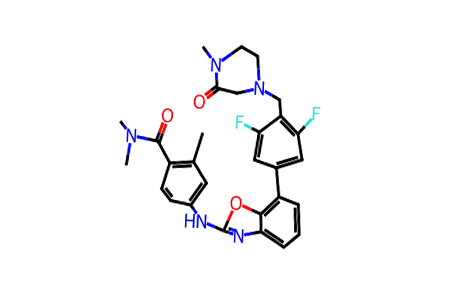 Cc1cc(Nc2nc3cccc(-c4cc(F)c(CN5CCN(C)C(=O)C5)c(F)c4)c3o2)ccc1C(=O)N(C)C